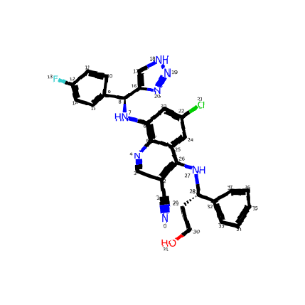 N#Cc1cnc2c(N[C@@H](c3ccc(F)cc3)c3c[nH]nn3)cc(Cl)cc2c1N[C@@H](CCO)c1ccccc1